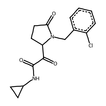 O=C(NC1CC1)C(=O)C1CCC(=O)N1Cc1ccccc1Cl